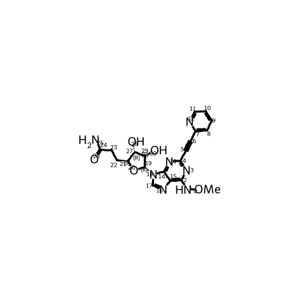 CONc1nc(C#Cc2ccccn2)nc2c1ncn2[C@@H]1O[C@@H](CCC(N)=O)[C@H](O)[C@H]1O